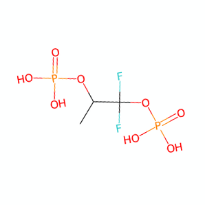 CC(OP(=O)(O)O)C(F)(F)OP(=O)(O)O